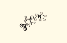 Cc1cc([N+](=O)[O-])cc(C)c1OCCN1CCCC1